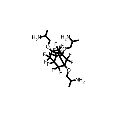 CC(N)COC12C(F)(F)C3(F)C(F)(F)C(OCC(C)N)(C1(F)F)C(F)(F)C(OCC(C)N)(C3(F)F)C2(F)F